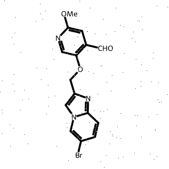 COc1cc(C=O)c(OCc2cn3cc(Br)ccc3n2)cn1